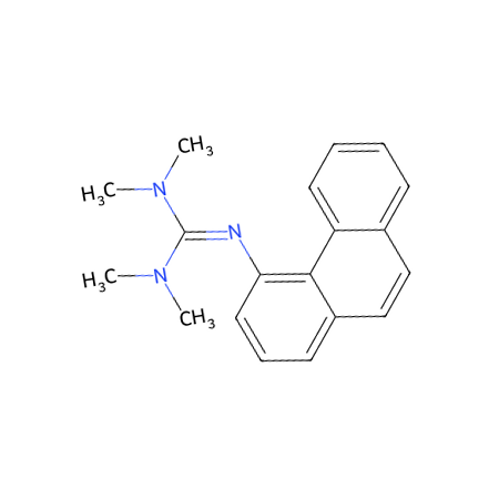 CN(C)C(=Nc1cccc2ccc3ccccc3c12)N(C)C